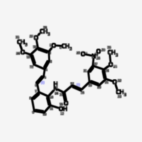 COc1cc(/C=C/c2cccc(O)c2NC(=O)/C=C/c2cc(OC)c(OC)c([N+](=O)[O-])c2)cc(OC)c1OC